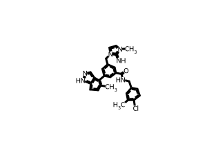 Cc1cc(CNC(=O)c2cc(Cn3ccn(C)c3=N)cc(-c3c(C)ccc4[nH]ncc34)c2)ccc1Cl